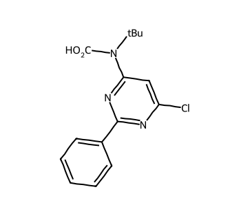 CC(C)(C)N(C(=O)O)c1cc(Cl)nc(-c2ccccc2)n1